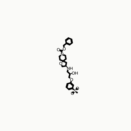 CS(=O)(=O)c1cccc(OC[C@H](O)CN[C@H]2COC3(CCN(C(=O)OCc4ccccc4)CC3)C2)c1